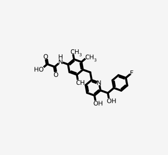 Cc1cc(NC(=O)C(=O)O)c(C)c(C)c1Cc1ccc(O)c(C(O)c2ccc(F)cc2)n1